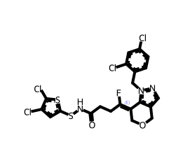 O=C(CC/C(F)=C1\COCc2cnn(Cc3ccc(Cl)cc3Cl)c21)NSc1cc(Cl)c(Cl)s1